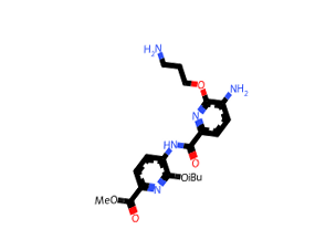 COC(=O)c1ccc(NC(=O)c2ccc(N)c(OCCCN)n2)c(OCC(C)C)n1